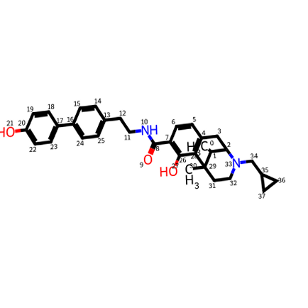 CC1C2Cc3ccc(C(=O)NCCc4ccc(-c5ccc(O)cc5)cc4)c(O)c3C1(C)CCN2CC1CC1